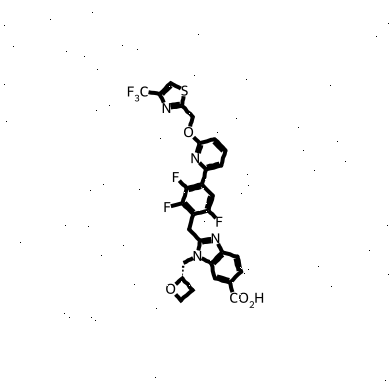 O=C(O)c1ccc2nc(Cc3c(F)cc(-c4cccc(OCc5nc(C(F)(F)F)cs5)n4)c(F)c3F)n(C[C@@H]3CCO3)c2c1